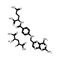 NC(CC(F)C(=O)O)C(=O)O.Nc1nc(N)c2nc(CNc3ccc(C(=O)NC(CCC(=O)O)C(=O)O)cc3)cnc2n1